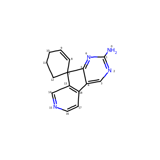 Nc1ncc2c(n1)C1(C=CCCC1)c1cnccc1-2